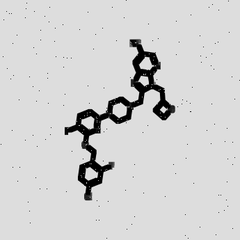 N#Cc1cnc2c(c1)nc(CN1CCN(c3ccc(F)c(OCc4ccc(Cl)cc4F)n3)CC1)n2CC1CCO1